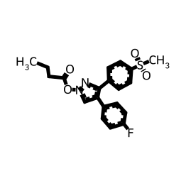 CCCC(=O)On1cc(-c2ccc(F)cc2)c(-c2ccc(S(C)(=O)=O)cc2)n1